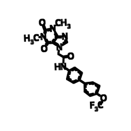 Cn1c(=O)c2c(ncn2CC(=O)Nc2ccc(-c3ccc(OC(F)(F)F)cc3)cc2)n(C)c1=O